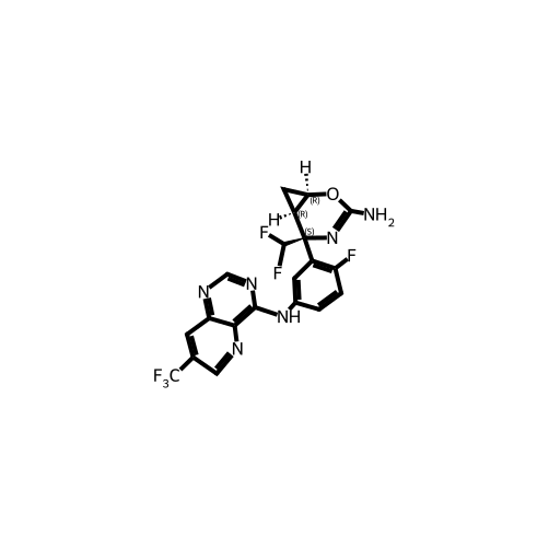 NC1=N[C@@](c2cc(Nc3ncnc4cc(C(F)(F)F)cnc34)ccc2F)(C(F)F)[C@H]2C[C@H]2O1